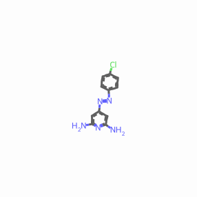 Nc1cc(N=Nc2ccc(Cl)cc2)cc(N)n1